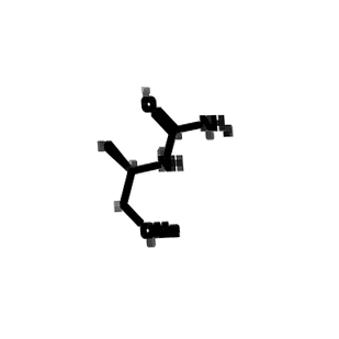 COC[C@@H](C)NC(N)=O